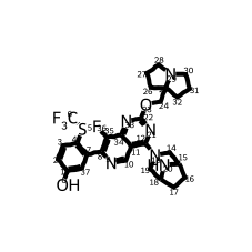 Oc1ccc(SC(F)(F)F)c(-c2ncc3c(N4CC5CCC(C4)N5)nc(OCC45CCCN4CCC5)nc3c2F)c1